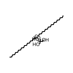 CCCCCCCCCCCCCCCCCCOCCCCCCCCCCCCCCCCCC.OCC(CO)(CO)CO